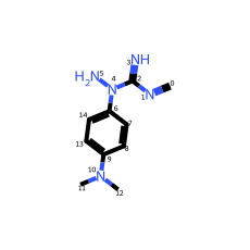 C=NC(=N)N(N)c1ccc(N(C)C)cc1